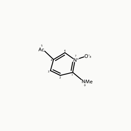 CNc1ccc(C(C)=O)c[n+]1[O-]